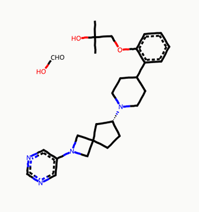 CC(C)(O)COc1ccccc1C1CCN([C@@H]2CCC3(C2)CN(c2cncnc2)C3)CC1.O=CO